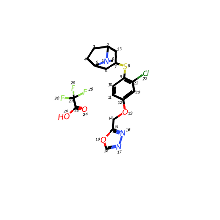 CN1C2CCC1CC(Sc1ccc(OCc3nnco3)cc1Cl)C2.O=C(O)C(F)(F)F